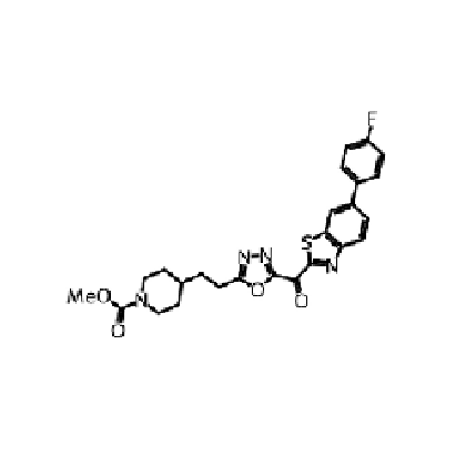 COC(=O)N1CCC(CCc2nnc(C(=O)c3nc4ccc(-c5ccc(F)cc5)cc4s3)o2)CC1